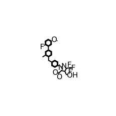 COC(=O)C1C(CO)C(C(F)(F)F)=NN1c1ccc(Cc2ccc(-c3cc(OC)ccc3F)cc2C)cc1